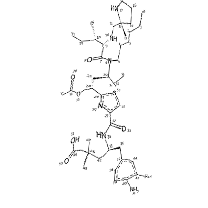 CCCCCCN(C(=O)[C@@H](NC[C@@]1(C)CCCN1)[C@@H](C)CC)[C@H](C[C@@H](OC(C)=O)c1nc(C(=O)N[C@@H](Cc2ccc(N)c(F)c2)CC(C)(C)C(=O)O)cs1)C(C)C